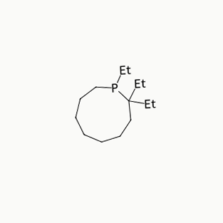 CCP1CCCCCCCC1(CC)CC